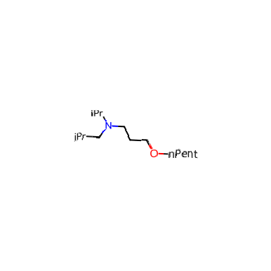 CCCCCOCCCN(CC(C)C)C(C)C